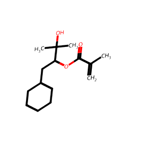 C=C(C)C(=O)OC(CC1CCCCC1)C(C)(C)O